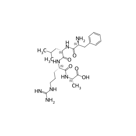 CC(C)C[C@H](NC(=O)[C@@H](N)Cc1ccccc1)C(=O)N[C@@H](CCCNC(=N)N)C(=O)N[C@@H](C)C(=O)O